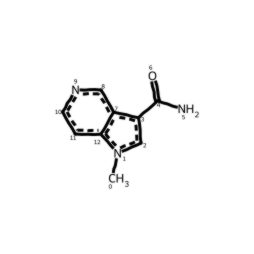 Cn1cc(C(N)=O)c2cnccc21